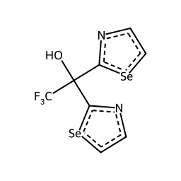 OC(c1ncc[se]1)(c1ncc[se]1)C(F)(F)F